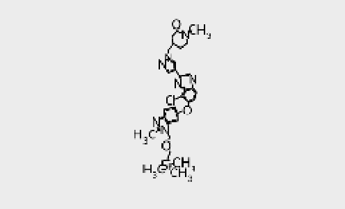 Cc1nc2ccc(Oc3ccc4ncc(-c5cnn(CC6CCN(C)C(=O)C6)c5)nc4c3Cl)cc2n1COCC[Si](C)(C)C